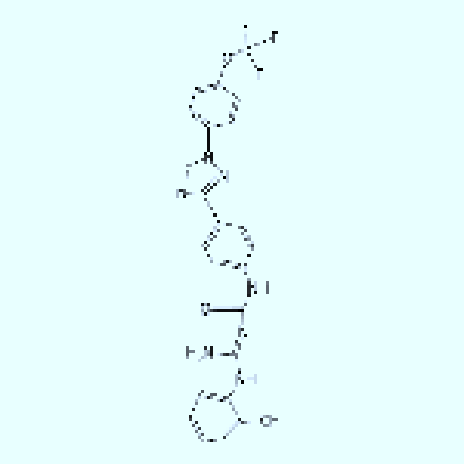 Cc1ccccc1N/C(N)=N/C(=O)Nc1ccc(-c2ncn(-c3ccc(OC(F)(F)F)cc3)n2)cc1